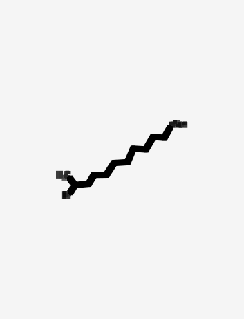 CCCCCCCCCCCCCCCCCC[C](C)C(C)C